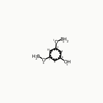 BOc1cc(O)cc(OB)c1